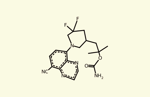 CC(C)(CC1CN(c2ccc(C#N)c3nccnc23)CC(F)(F)C1)OC(N)=O